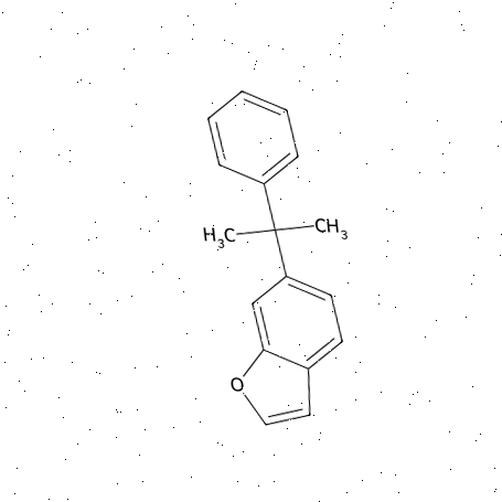 CC(C)(c1ccccc1)c1ccc2ccoc2c1